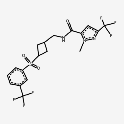 Cn1nc(C(F)(F)F)cc1C(=O)NCC1CC(S(=O)(=O)c2cccc(C(F)(F)F)c2)C1